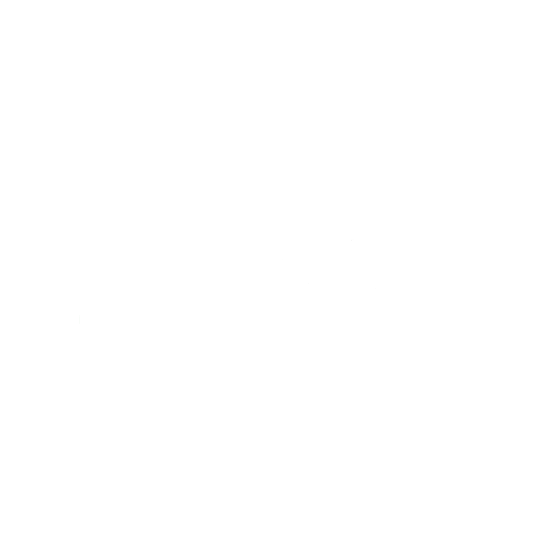 CCC1CCC2CC(c3ccc4cc(F)ccc4c3)CCC2C1